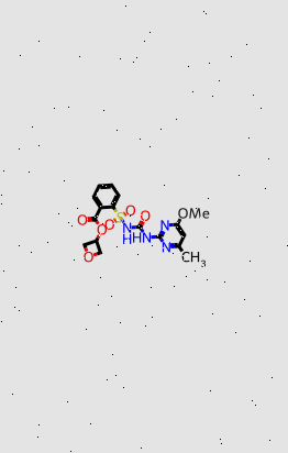 COc1cc(C)nc(NC(=O)NS(=O)(=O)c2ccccc2C(=O)OC2COC2)n1